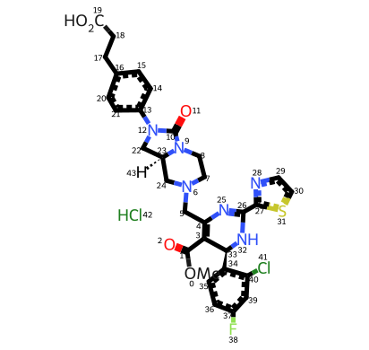 COC(=O)C1=C(CN2CCN3C(=O)N(c4ccc(CCC(=O)O)cc4)C[C@@H]3C2)N=C(c2nccs2)N[C@H]1c1ccc(F)cc1Cl.Cl